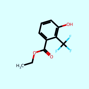 CCOC(=O)c1cccc(O)c1C(F)(F)F